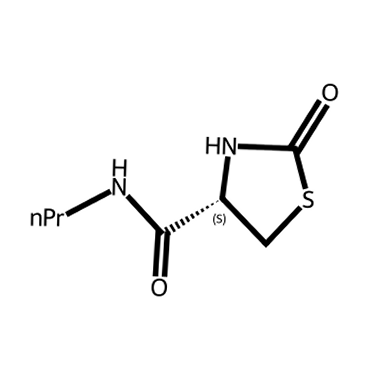 CCCNC(=O)[C@H]1CSC(=O)N1